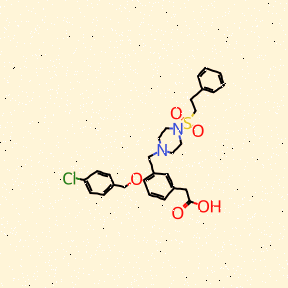 O=C(O)Cc1ccc(OCc2ccc(Cl)cc2)c(CN2CCN(S(=O)(=O)CCc3ccccc3)CC2)c1